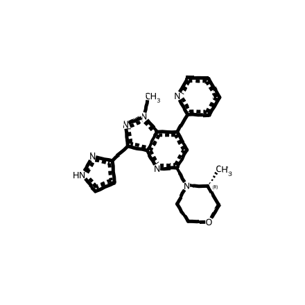 C[C@@H]1COCCN1c1cc(-c2ccccn2)c2c(n1)c(-c1cc[nH]n1)nn2C